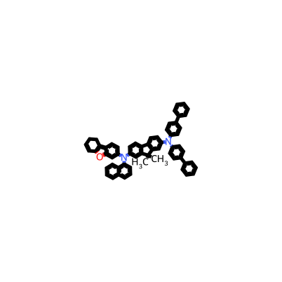 CC1(C)c2cc(N(c3ccc(-c4ccccc4)cc3)c3ccc(-c4ccccc4)cc3)ccc2-c2ccc(N(c3ccc4c5c(oc4c3)C=CCC5)c3cccc4ccccc34)cc21